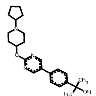 CC(C)(O)c1ccc(-c2cnc(OC3CCN(C4CCCC4)CC3)nc2)cc1